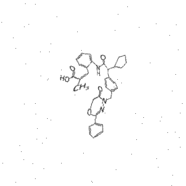 CC(=Cc1ccccc1NC(=O)C(c1ccc(CN2N=C(c3ccccc3)OCC2=O)cc1)C1CCCC1)C(=O)O